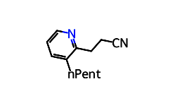 CCCCCc1cccnc1CCC#N